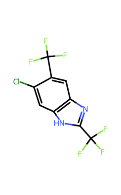 FC(F)(F)c1nc2cc(C(F)(F)F)c(Cl)cc2[nH]1